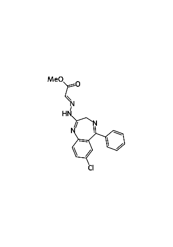 COC(=O)C=NNC1=Nc2ccc(Cl)cc2C(c2ccccc2)=NC1